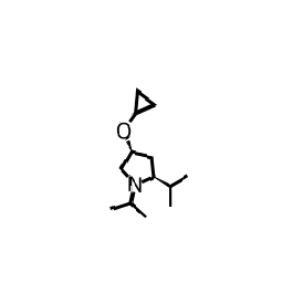 CC(C)[C@@H]1C[C@H](OC2CC2)CN1C(C)C